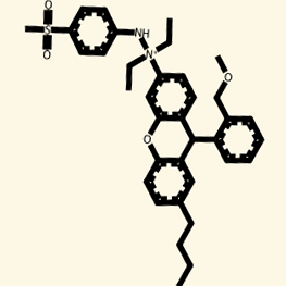 CCCCc1ccc2c(c1)C(c1ccccc1COC)c1ccc([N+](CC)(CC)Nc3ccc(S(C)(=O)=O)cc3)cc1O2